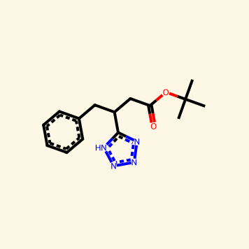 CC(C)(C)OC(=O)CC(Cc1ccccc1)c1nnn[nH]1